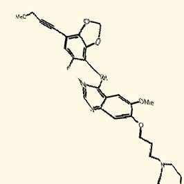 COCC#Cc1cc(F)c(Nc2ncnc3cc(OCCCN4CCS(=O)(=O)CC4)c(OC)cc23)c2c1OCO2